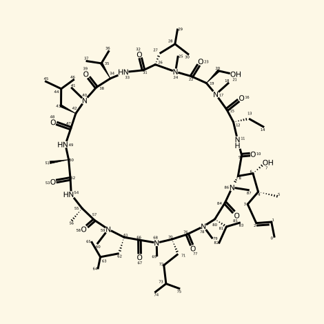 C/C=C/C[C@@H](C)[C@@H](O)[C@H]1C(=O)N[C@@H](CC)C(=O)N(C)[C@H](CO)C(=O)N(C)[C@@H](CC(C)C)C(=O)N[C@H](C(C)C)C(=O)N(C)[C@H](CC(C)C)C(=O)N[C@H](C)C(=O)N[C@@H](C)C(=O)N(C)[C@@H](CC(C)C)C(=O)N(C)[C@@H](CCC(C)C)C(=O)N(C)[C@@H](C(C)C)C(=O)N1C